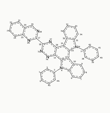 c1ccc(-n2c3ccccc3c3c2c2nnc(-c4ncc5ccccc5n4)nc2c2c4ccccc4n(-c4ccccc4)c23)cc1